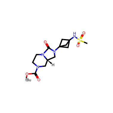 CC(C)(C)OC(=O)N1CCN2C(=O)N(C34CC(NS(C)(=O)=O)(C3)C4)C[C@@H]2C1